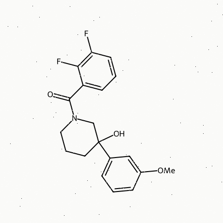 COc1cccc(C2(O)CCCN(C(=O)c3cccc(F)c3F)C2)c1